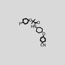 CC(C)(Oc1ccc(F)cc1)C(=O)N[C@H]1CC[C@H](Oc2ccc(C#N)cc2)CC1